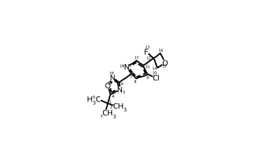 CC(C)(C)c1nc(-c2cc(Cl)c(C3(F)COC3)cn2)no1